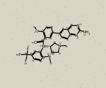 COc1ccc(-c2ccc3nc(N)ncc3c2)cc1C(=O)Nc1cc(C(F)(F)F)ccc1N(C)[C@@H]1CCN(C)C1